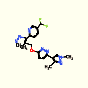 C/N=N\C(=C(/C)COc1ccc(-c2cn(C)nc2C)nn1)c1ccc(C(F)F)cn1